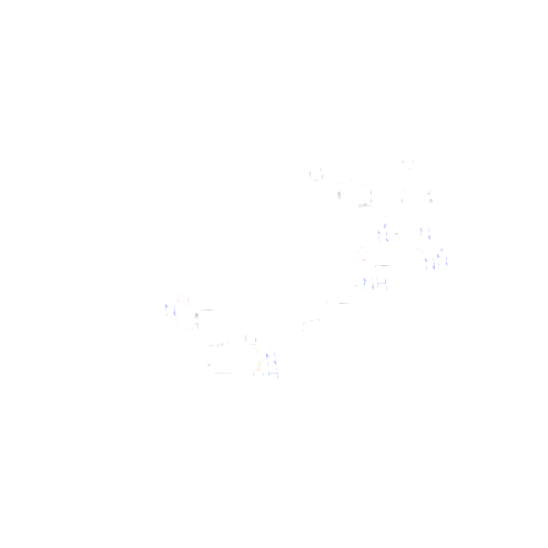 COc1ccc2c(c1)C(c1ccc(Cl)cc1)=N[C@@H](CC(=O)NCCCCCCCNS(=O)(=O)c1cc(-c3c(C)noc3C)ccc1C)c1nnc(C)n1-2